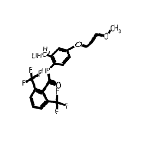 COCCOc1ccc(PC(=O)c2c(C(F)(F)F)cccc2C(F)(F)F)c(C)c1.[LiH]